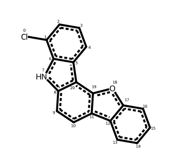 Clc1cccc2c1[nH]c1ccc3c4ccccc4oc3c12